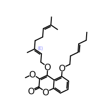 CCC=CCCOc1cccc2oc(=O)c(OC)c(OC/C=C(\C)CCC=C(C)C)c12